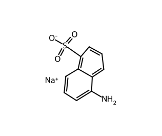 Nc1cccc2c(S(=O)(=O)[O-])cccc12.[Na+]